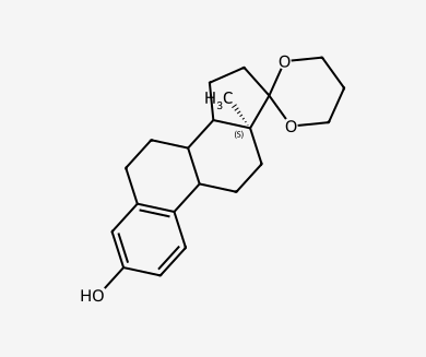 C[C@]12CCC3c4ccc(O)cc4CCC3C1CCC21OCCCO1